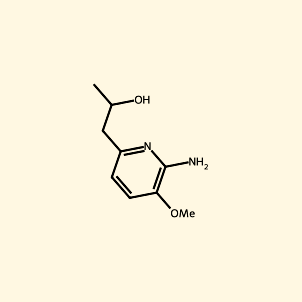 COc1ccc(CC(C)O)nc1N